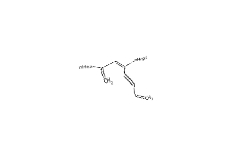 C=CC=CC(=CC(=C)CCCCCC)CCCCCCC